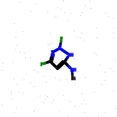 CCNC1=CC(F)=NN(F)N1